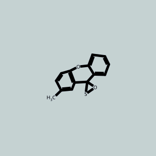 Cc1ccc2c(c1)C1(OS1)c1ccccc1O2